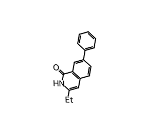 CCc1cc2ccc(-c3ccccc3)cc2c(=O)[nH]1